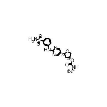 CC[C@H](C)NC(=O)O[C@@H]1CO[C@H](c2cnc(Nc3cccc(S(N)(=O)=O)c3)nc2)C1